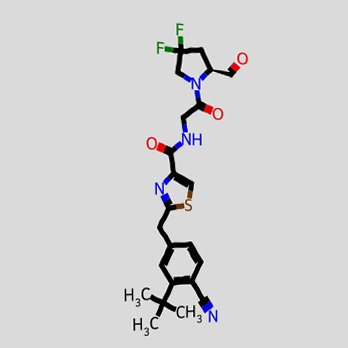 CC(C)(C)c1cc(Cc2nc(C(=O)NCC(=O)N3CC(F)(F)C[C@H]3C=O)cs2)ccc1C#N